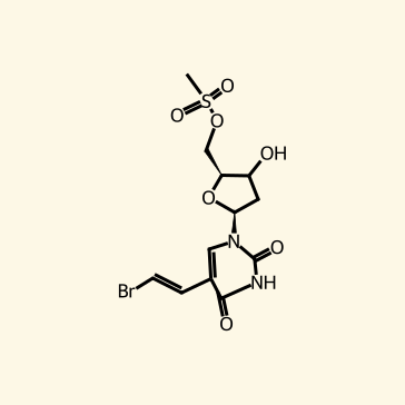 CS(=O)(=O)OC[C@@H]1O[C@H](n2cc(/C=C/Br)c(=O)[nH]c2=O)CC1O